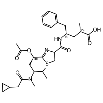 CC(=O)O[C@H](CC(C(C)C)N(C)C(=O)CC1CC1)C1=NC(C(=O)N[C@@H](Cc2ccccc2)C[C@H](C)C(=O)O)CS1